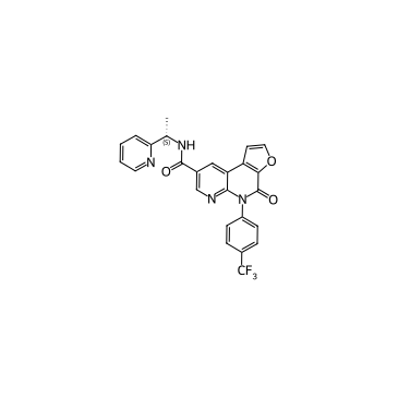 C[C@H](NC(=O)c1cnc2c(c1)c1ccoc1c(=O)n2-c1ccc(C(F)(F)F)cc1)c1ccccn1